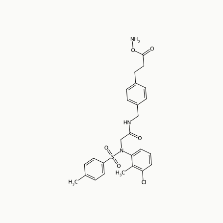 Cc1ccc(S(=O)(=O)N(CC(=O)NCc2ccc(CCC(=O)ON)cc2)c2cccc(Cl)c2C)cc1